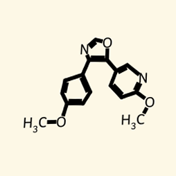 COc1ccc(-c2ncoc2-c2ccc(OC)nc2)cc1